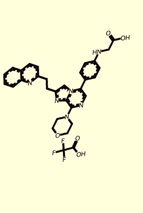 O=C(O)C(F)(F)F.O=C(O)CNc1ccc(-c2cnc(N3CCOCC3)c3nc(CCc4ccc5ccccc5n4)cn23)cc1